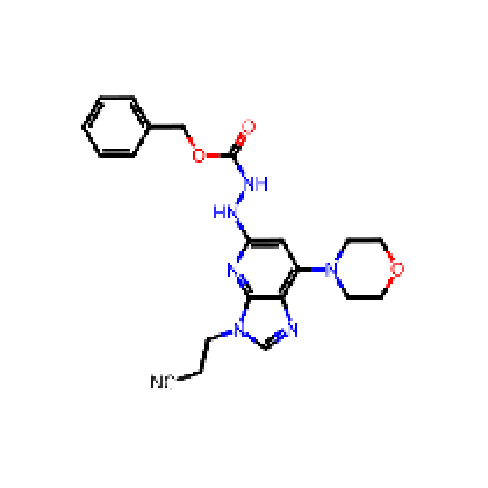 N#CCCn1cnc2c(N3CCOCC3)cc(NNC(=O)OCc3ccccc3)nc21